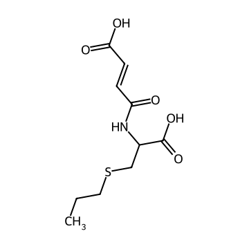 CCCSCC(NC(=O)C=CC(=O)O)C(=O)O